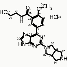 COc1ccc(-c2nc(N3CC4CNCC4C3)nc3[nH]cnc23)cc1C(=O)NCCO.Cl